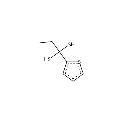 CCC(S)(S)c1cccs1